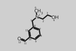 CN(CCO)Cc1cccc(C=O)c1